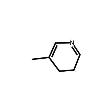 CC1=[C]N=CCC1